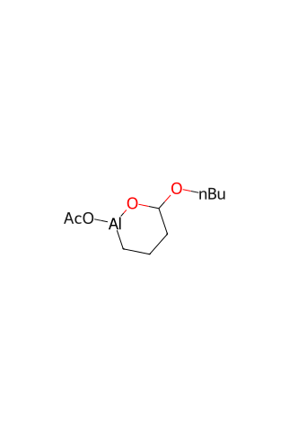 CCCCOC1CC[CH2][Al]([O]C(C)=O)[O]1